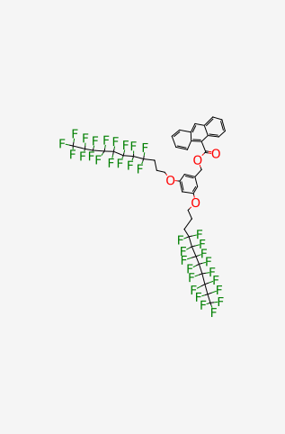 O=C(OCc1cc(OCCCC(F)(F)C(F)(F)C(F)(F)C(F)(F)C(F)(F)C(F)(F)C(F)(F)C(F)(F)F)cc(OCCCC(F)(F)C(F)(F)C(F)(F)C(F)(F)C(F)(F)C(F)(F)C(F)(F)C(F)(F)F)c1)c1c2ccccc2cc2ccccc12